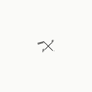 [CH2]C(F)(F)C=C